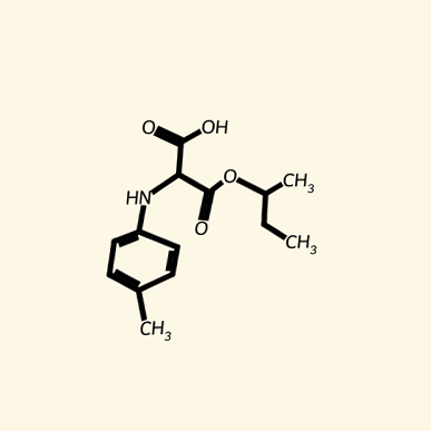 CCC(C)OC(=O)C(Nc1ccc(C)cc1)C(=O)O